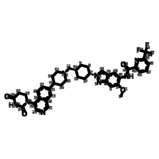 COc1cc2nn([C@H]3CC[C@H](CN4CCC(c5ccc6c(N7CCC(=O)NC7=O)cncc6c5)CC4)CC3)cc2cc1NC(=O)c1cccc(C(F)(F)F)n1